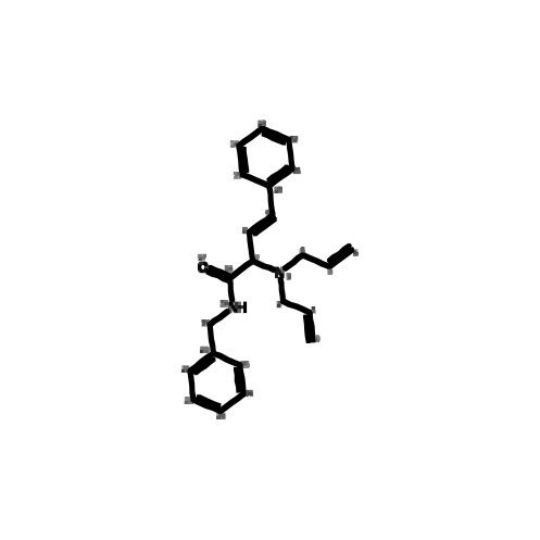 C=CCN(CC=C)C(/C=C/c1ccccc1)C(=O)NCc1ccccc1